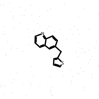 c1csc(Cc2ccc3ncccc3c2)c1